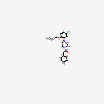 O=C(O)COc1ccc(Cl)cc1N1CCN(C(=O)Cc2ccc(F)cc2)CC1